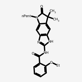 CCCCCN1C(=O)C(C)(C)c2cc3[nH]c(NC(=O)c4ccccc4OCC)nc3cc21